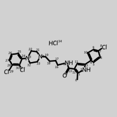 Cc1[nH]c(-c2ccc(Cl)cc2)cc1C(=O)NCCCCN1CCN(c2cccc(Cl)c2Cl)CC1.Cl